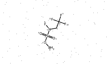 BOS(=O)(=O)N(F)CC(F)(F)F